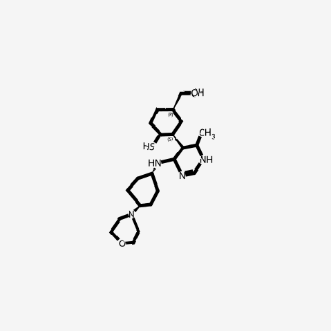 CC1NC=NC(N[C@H]2CC[C@H](N3CCOCC3)CC2)C1[C@@H]1C[C@H](CO)CCC1S